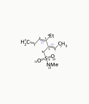 C=C/C=C(CC)\C(=C/C)CS(=O)(=O)NC